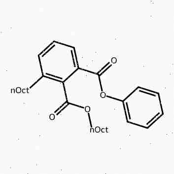 CCCCCCCCOC(=O)c1c(CCCCCCCC)cccc1C(=O)Oc1ccccc1